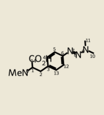 CNC(Cc1ccc(N=NN(C)C)cc1)C(=O)O